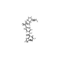 NC1CCC2CN(C(=O)c3ccc(CNc4ccnc5sccc45)cc3)CC12